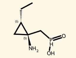 CC[C@H]1C[C@@]1(N)C[PH](=O)O